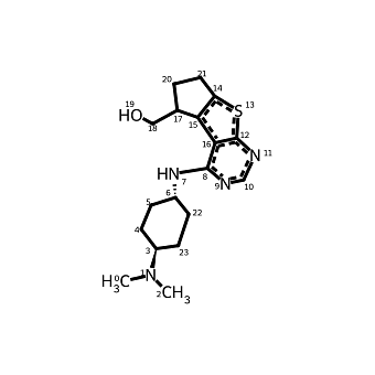 CN(C)[C@H]1CC[C@H](Nc2ncnc3sc4c(c23)C(CO)CC4)CC1